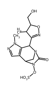 CC1C(C2c3c(cnn3C)C3CN2C(=O)N3OS(=O)(=O)O)=NOC1CO